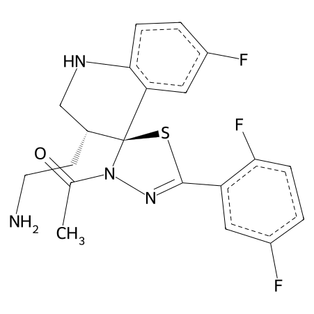 CC(=O)N1N=C(c2cc(F)ccc2F)S[C@@]12c1cc(F)ccc1NC[C@H]2CCN